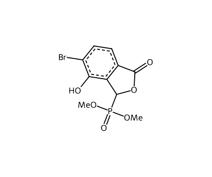 COP(=O)(OC)C1OC(=O)c2ccc(Br)c(O)c21